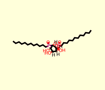 CCCCCCCCCCCCP1(=O)O[C@@H]2[C@@H](O)[C@H](O)C3(O1)[C@@](O)([C@H]2O)P3(=O)CCCCCCCCCCCC